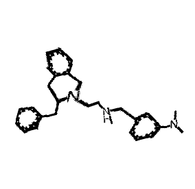 CN(C)c1cccc(CNCCN2Cc3ccccc3CC2Cc2ccccc2)c1